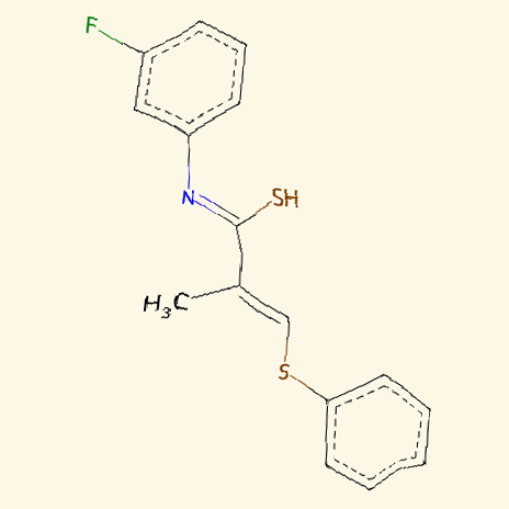 CC(=C\Sc1ccccc1)/C(S)=N/c1cccc(F)c1